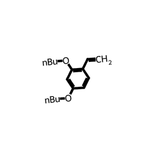 C=Cc1ccc(OCCCC)cc1OCCCC